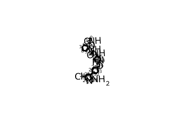 CNS(=O)(=O)c1ccccc1NC(=O)Nc1cnc(Oc2ccc(-c3cc(Cl)cnc3N)cc2)nc1